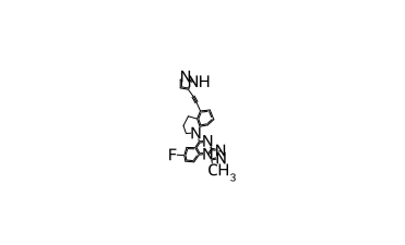 Cc1nnc2nc(N3CCCc4c(C#Cc5ccn[nH]5)cccc43)c3cc(F)ccc3n12